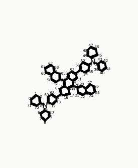 c1ccc(N(c2ccccc2)c2ccc(-c3ccc4c(-c5ccc6ccccc6c5)c5cc(-c6ccc(N(c7ccccc7)c7ccccc7)cc6)ccc5c(-c5ccc6ccccc6c5)c4c3)cc2)cc1